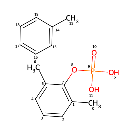 Cc1cccc(C)c1OP(=O)(O)O.Cc1ccccc1